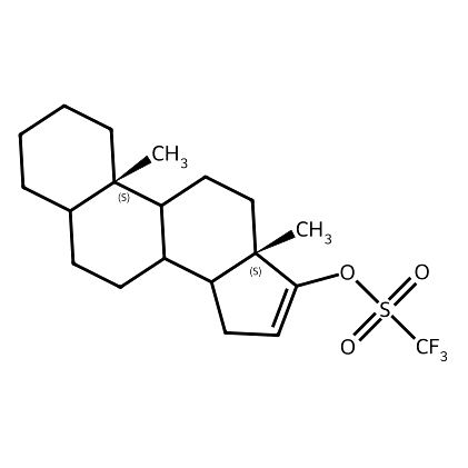 C[C@]12CCCCC1CCC1C2CC[C@]2(C)C(OS(=O)(=O)C(F)(F)F)=CCC12